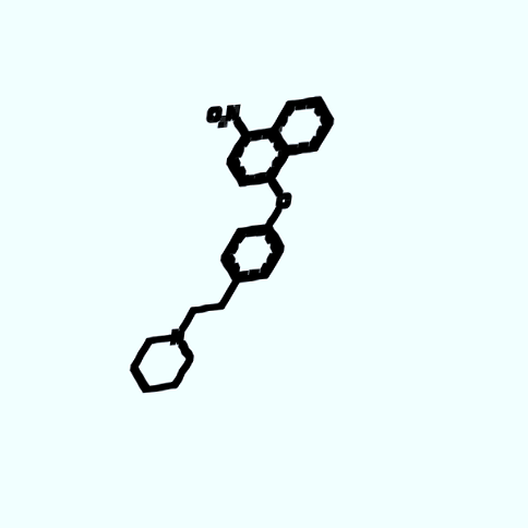 O=[N+]([O-])c1ccc(Oc2ccc(CCN3CCCCC3)cc2)c2ccccc12